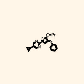 CC(C)Oc1nn(-c2ncc(C3CC3)cn2)cc1Sc1ccccc1